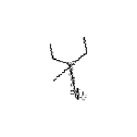 CCCCCCCC/C=C\CCCCCCCCOCC(OCCCCCCCC/C=C\CCCCCCCC)C(CCCCCCCCCCCC)OCCOCCOCCOCCNC(=O)/C(N)=C/N